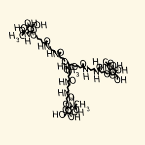 CNC(COCCC(=O)NCCCNC(=O)CCCCO[C@@H]1OC(CO)[C@H](O)C(O)C1NC(C)=O)(COCCC(=O)NCCCNC(=O)CCO[C@@H]1OC(CO)[C@H](O)C(O)C1NC(C)=O)COCCC(=O)NCCCNC(=O)CCO[C@@H]1OC(CO)[C@H](O)C(O)[C@@H]1NC(C)=O